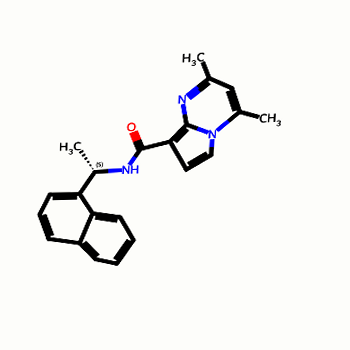 Cc1cc(C)n2ccc(C(=O)N[C@@H](C)c3cccc4ccccc34)c2n1